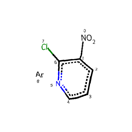 O=[N+]([O-])c1cccnc1Cl.[Ar]